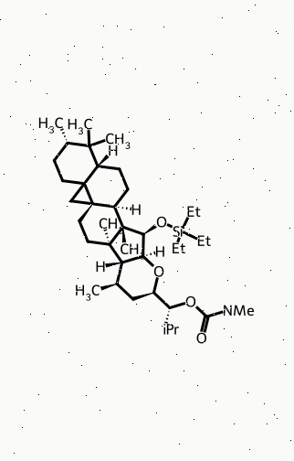 CC[Si](CC)(CC)O[C@H]1[C@H]2O[C@@H]([C@H](OC(=O)NC)C(C)C)C[C@@H](C)[C@@H]2[C@@]2(C)CC[C@@]34CC35CC[C@H](C)C(C)(C)[C@@H]5CC[C@H]4[C@]12C